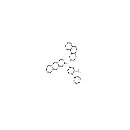 CC1(C)c2ccccc2-c2ccc(N(c3ccc4cc5ccccc5cc4c3)c3ccc4ccc5ccccc5c4c3)cc21